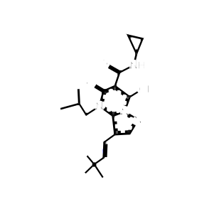 CC(C)Cn1c(=O)c(C(=O)NC2CC2)c(O)n2ncc(/C=C/C(C)(C)C)c12